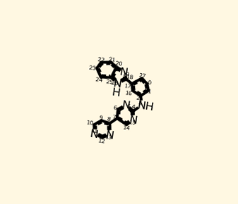 c1cc(Nc2ncc(-c3ccncn3)cn2)cc(-c2nc3ccccc3[nH]2)c1